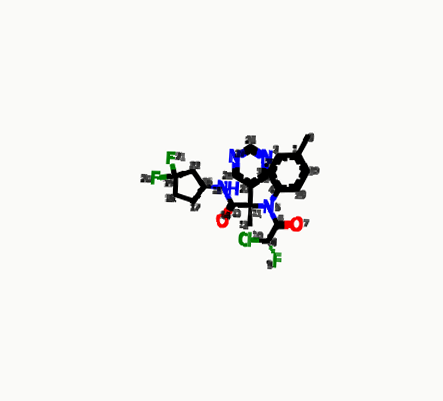 Cc1ccc(N(C(=O)[C@H](F)Cl)[C@](C)(C(=O)N[C@H]2CCC(F)(F)C2)c2cncnc2)cc1